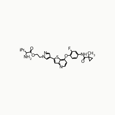 CC(C)C(N)C(=O)OCCn1cc(-c2cc3nccc(Oc4ccc(NC(=O)C5(C)CC5)cc4F)c3s2)cn1